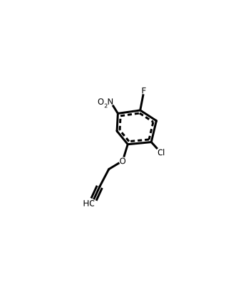 C#CCOc1cc([N+](=O)[O-])c(F)cc1Cl